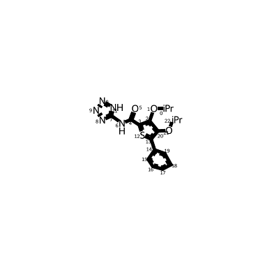 CC(C)Oc1c(C(=O)Nc2nnn[nH]2)sc(-c2ccccc2)c1OC(C)C